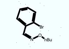 CCCCO/N=[C]\c1ccccc1Br